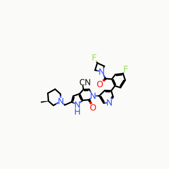 C[C@H]1CCCN(Cc2cc3c(C#N)cn(-c4cncc(-c5ccc(F)cc5C(=O)N5CC(F)C5)c4)c(=O)c3[nH]2)C1